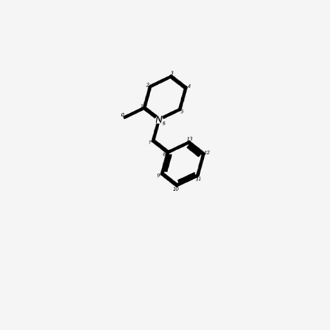 CC1[CH]CCCN1Cc1ccccc1